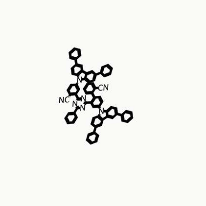 N#Cc1ccc(-n2c3ccc(-c4ccccc4)cc3c3cc(-c4ccccc4)ccc32)cc1-c1nc(-c2ccccc2)nc(-c2cc(-n3c4ccc(-c5ccccc5)cc4c4cc(-c5ccccc5)ccc43)ccc2-c2ccccc2C#N)n1